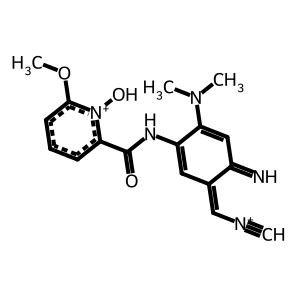 C#[N+]/C=C1/C=C(NC(=O)c2cccc(OC)[n+]2O)C(N(C)C)=CC1=N